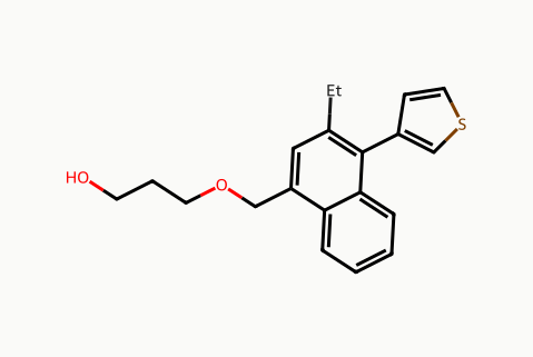 CCc1cc(COCCCO)c2ccccc2c1-c1ccsc1